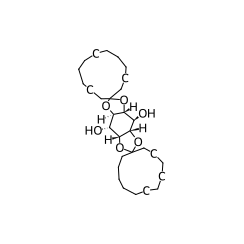 O[C@@H]1[C@H]2OC3(CCCCCCCCCCC3)O[C@@H]2[C@@H](O)[C@@H]2OC3(CCCCCCCCCCC3)O[C@H]12